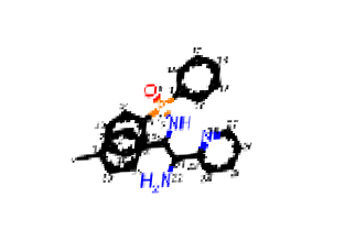 Cc1ccc(C(NP(=O)(c2ccccc2)c2ccccc2)C(N)c2ccccn2)cc1